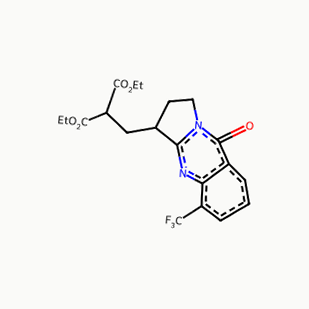 CCOC(=O)C(CC1CCn2c1nc1c(C(F)(F)F)cccc1c2=O)C(=O)OCC